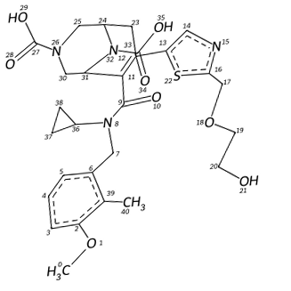 COc1cccc(CN(C(=O)C2=C(c3cnc(COCCO)s3)CC3CN(C(=O)O)CC2N3C(=O)O)C2CC2)c1C